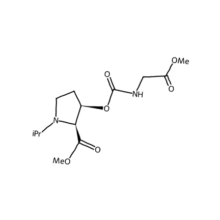 COC(=O)CNC(=O)O[C@@H]1CCN(C(C)C)[C@@H]1C(=O)OC